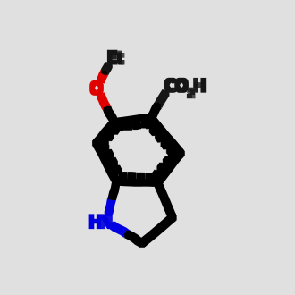 CCOc1cc2c(cc1C(=O)O)CCN2